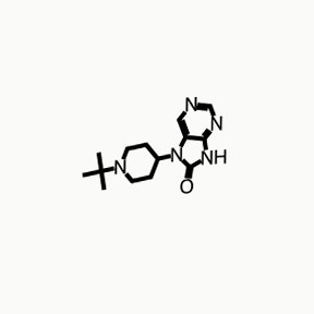 CC(C)(C)N1CCC(n2c(=O)[nH]c3ncncc32)CC1